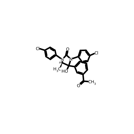 CC(=O)c1cccc(C2(O)[C@@H](C)N(c3ccc(Cl)cc3)C(=O)N2c2ccc(Cl)cc2)c1